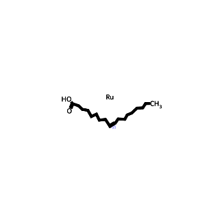 CCCCCCCC/C=C\CCCCCCCC(=O)O.[Ru]